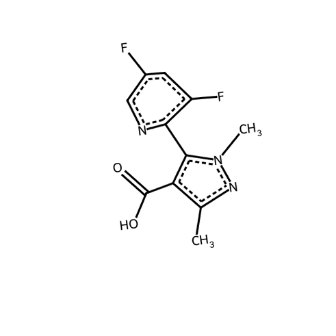 Cc1nn(C)c(-c2ncc(F)cc2F)c1C(=O)O